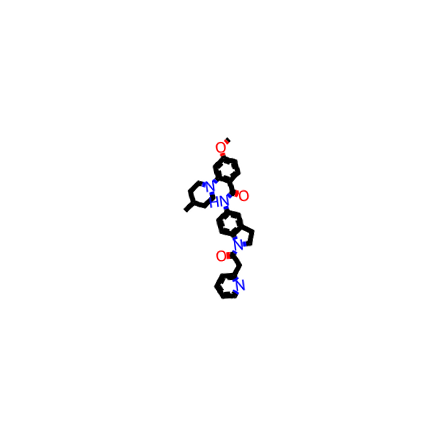 COc1ccc(C(=O)Nc2ccc3c(c2)CCN3C(=O)Cc2ccccn2)c(N2CCC(C)CC2)c1